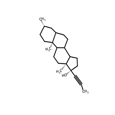 CC#C[C@]1(O)CCC2C3CCC4C[C@@H](C)CC[C@]4(C)C3CC[C@@]21C